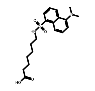 CN(C)c1cccc2c(S(=O)(=O)NCCCCCCC(=O)O)cccc12